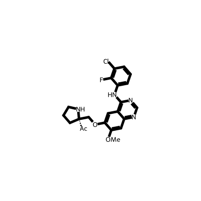 COc1cc2ncnc(Nc3cccc(Cl)c3F)c2cc1OC[C@@]1(C(C)=O)CCCN1